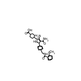 COc1ccccc1C(=O)NCc1ccc(C2NN(C3CCC(C(=O)O)CC3)C(N)=C2C(N)=O)cc1